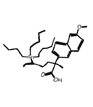 C=[C](CCC(C)(C(=O)O)c1ccc2cc(OC)ccc2c1)[Sn]([CH2]CCC)([CH2]CCC)[CH2]CCC